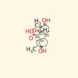 CC1C[C@]23C[C@]1(O)CCC2[C@]12CC[C@H](O)[C@](C)(C(=O)C1)[C@H]2[C@@H]3C(=O)O